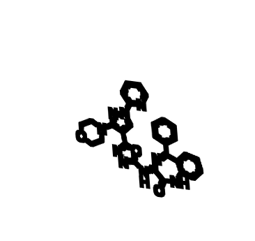 O=C1Nc2ccccc2C(c2ccccc2)=N[C@@H]1Nc1nnc(-c2cn(-c3ccccn3)nc2N2CCOCC2)o1